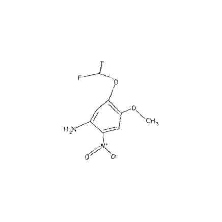 COc1cc([N+](=O)[O-])c(N)cc1OC(F)F